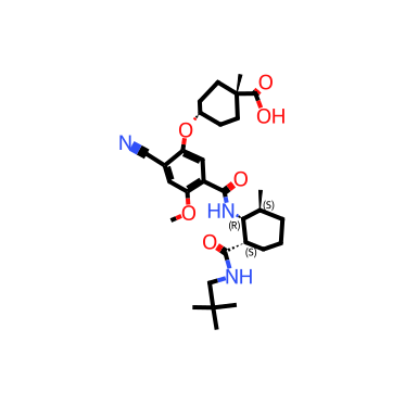 COc1cc(C#N)c(O[C@H]2CC[C@@](C)(C(=O)O)CC2)cc1C(=O)N[C@H]1[C@@H](C(=O)NCC(C)(C)C)CCC[C@@H]1C